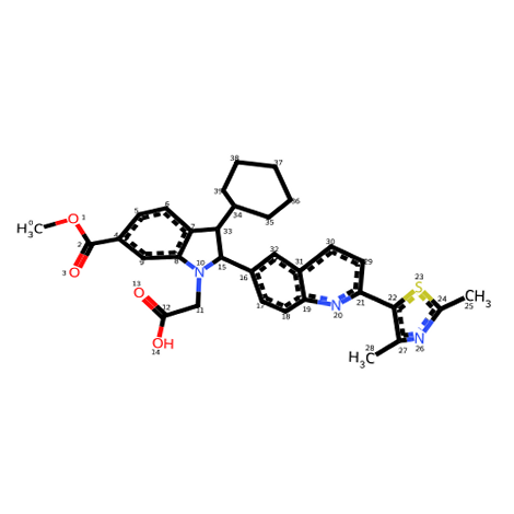 COC(=O)c1ccc2c(c1)N(CC(=O)O)C(c1ccc3nc(-c4sc(C)nc4C)ccc3c1)C2C1CCCCC1